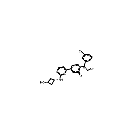 O=c1cc(-c2ccnc(N[C@H]3C[C@H](O)C3)n2)ccn1[C@H](CO)c1cccc(Cl)c1